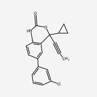 CC#CC1(C2CC2)OC(=O)Nc2ccc(-c3cccc(Cl)c3)cc21